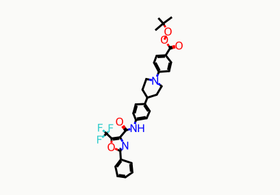 CC(C)(C)OOC(=O)c1ccc(N2CCC(c3ccc(NC(=O)c4nc(-c5ccccc5)oc4C(F)(F)F)cc3)CC2)cc1